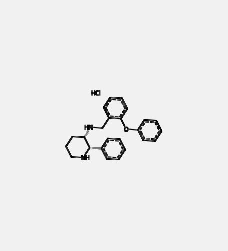 Cl.c1ccc(Oc2ccccc2CN[C@H]2CCCN[C@H]2c2ccccc2)cc1